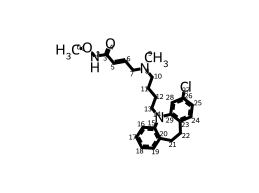 CONC(=O)/C=C/CN(C)CCCCN1c2ccccc2CCc2ccc(Cl)cc21